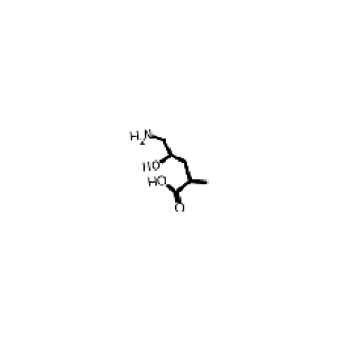 CC(CC(O)CN)C(=O)O